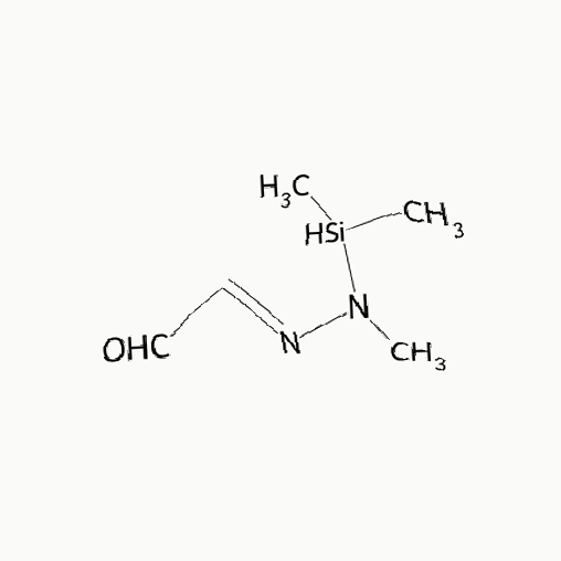 CN(N=CC=O)[SiH](C)C